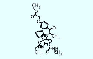 CCOC(=O)COc1ccc(C(=O)C(C)NC(=O)C(OC(=O)CC)(C(=N)OC(=O)NC)c2ccccc2)cc1